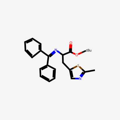 Cc1ncc(CC(N=C(c2ccccc2)c2ccccc2)C(=O)OC(C)(C)C)s1